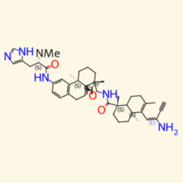 C#C/C(N)=C\C1=C(C)CCC2[C@@](C)(C(=O)NC(=O)[C@@]3(C)CCC[C@]4(C)c5cc(NC(=O)[C@H](Cc6cnc[nH]6)NC)ccc5CC[C@@H]34)CCC[C@]12C